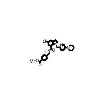 COC(=O)c1ccc(CNC(=O)c2cc(Cl)cc3ccn(Cc4ccc(N5CCCCC5)cn4)c23)cc1